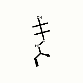 C=CC(Br)BOC(C)(C)C(C)(C)O